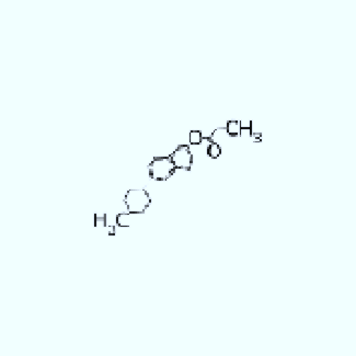 CCC(=O)Oc1ccc2cc([C@H]3CC[C@H](C)CC3)ccc2c1